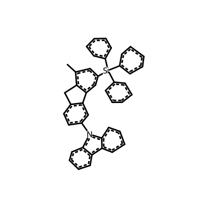 Cc1cc([Si](c2ccccc2)(c2ccccc2)c2ccccc2)cc2c1Cc1ccc(-n3c4ccccc4c4ccccc43)cc1-2